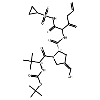 C=CCC(=C)C(NC(=O)[C@@H]1C/C(=C/O)CN1C(=O)[C@@H](NC(=O)OC(C)(C)C)C(C)(C)C)C(=O)NS(=O)(=O)C1CC1